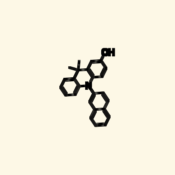 CC1(C)c2ccccc2N(c2ccc3ccccc3c2)c2ccc(O)cc21